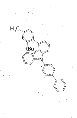 Cc1ccc(-c2cccc3c2c2ccccc2n3-c2ccc(-c3ccccc3)cc2)c(C(C)(C)C)c1